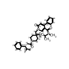 CC(C)N(C)C(=O)c1cn(CC2(O)CCN(C(=O)C[C@@H](c3ccccc3)C(F)F)CC2)c(=O)cc1-c1ccccc1